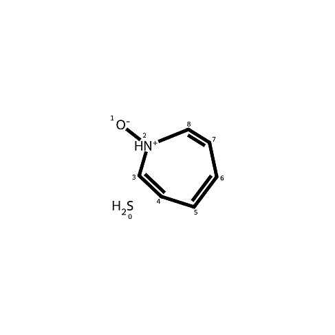 S.[O-][NH+]1C=CC=CC=C1